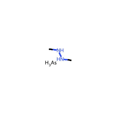 CNNC.[AsH3]